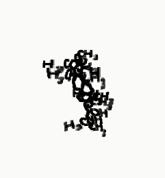 COC(=O)[C@]12CC[C@@H](C)[C@H](C)[C@H]1C1=CC[C@@H]3[C@@]4(C)CC[C@@H](OCC(O)CNC(C)C)C(C)(C)[C@@H]4CC[C@@]3(C)[C@]1(C)CC2